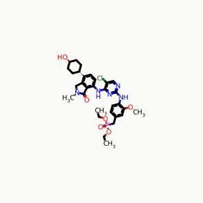 CCOP(=O)(Cc1ccc(Nc2ncc(Cl)c(Nc3ccc([C@H]4CC[C@H](O)CC4)c4c3C(=O)N(C)C4)n2)c(OC)c1)OCC